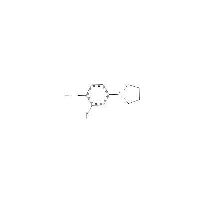 Oc1ccc(N2CCCC2)cc1Cl